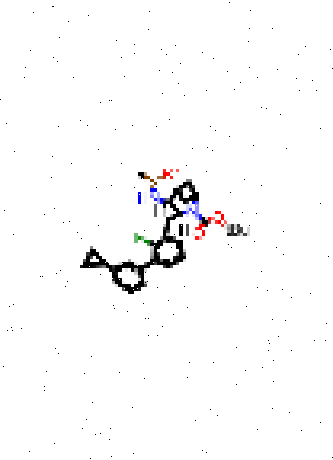 C[S+]([O-])N[C@H]1C2CC(C2)N(C(=O)OC(C)(C)C)[C@H]1Cc1cccc(-c2cccc(C3CC3)c2)c1F